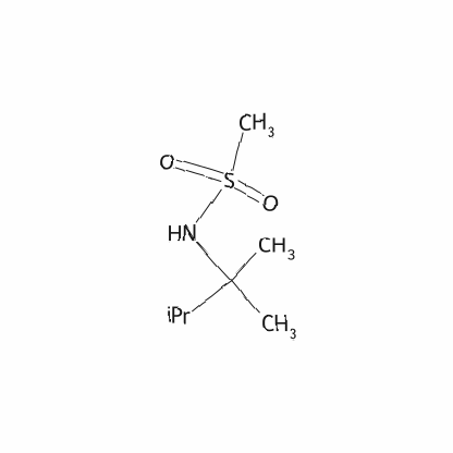 CC(C)C(C)(C)NS(C)(=O)=O